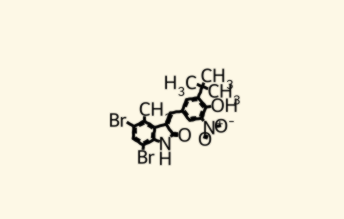 Cc1c(Br)cc(Br)c2c1C(=Cc1cc([N+](=O)[O-])c(O)c(C(C)(C)C)c1)C(=O)N2